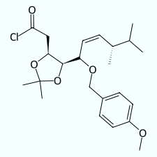 COc1ccc(COC(/C=C\[C@@H](C)C(C)C)[C@H]2OC(C)(C)O[C@H]2CC(=O)Cl)cc1